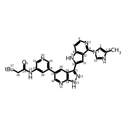 Cc1cn(-c2nccc3[nH]c(-c4n[nH]c5ncc(-c6cncc(NC(=O)CC(C)(C)C)c6)cc45)cc23)cn1